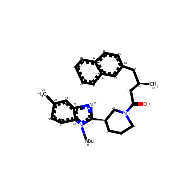 CCCCn1c([C@@H]2CCCN(C(=O)C[C@H](C)Cc3ccc4ccccc4c3)C2)nc2cc(C)ccc21